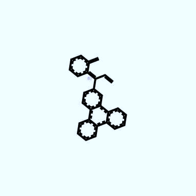 C=C/C(c1ccc2c3ccccc3c3ccccc3c2c1)=c1/ccccc1=C